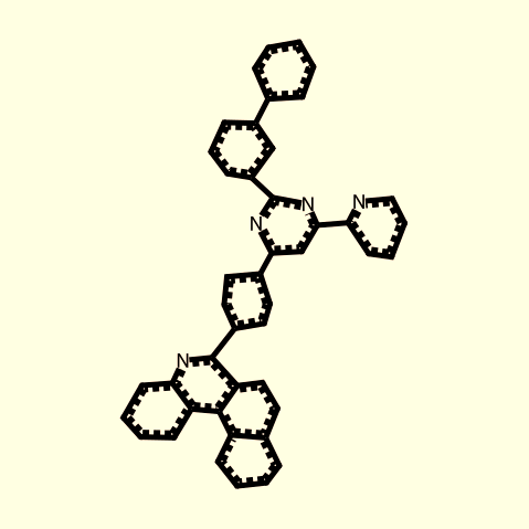 c1ccc(-c2cccc(-c3nc(-c4ccc(-c5nc6ccccc6c6c5ccc5ccccc56)cc4)cc(-c4ccccn4)n3)c2)cc1